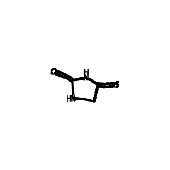 O=C1NCC(=S)N1